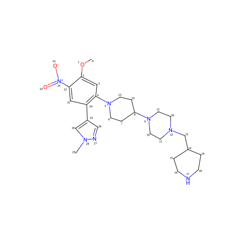 COc1cc(N2CCC(N3CCN(CC4CCNCC4)CC3)CC2)c(-c2cnn(C)c2)cc1[N+](=O)[O-]